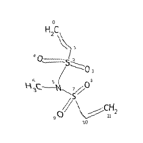 C=CS(=O)(=O)N(C)S(=O)(=O)C=C